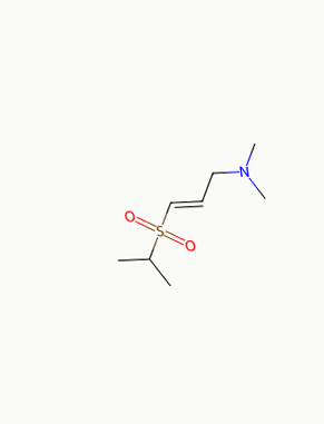 CC(C)S(=O)(=O)/C=C/CN(C)C